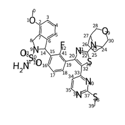 COc1cccc2c1CN(S(N)(=O)=O)C2c1cccc(-c2nc(N3C4CCC3COC4)sc2-c2ccnc(SC)n2)c1F